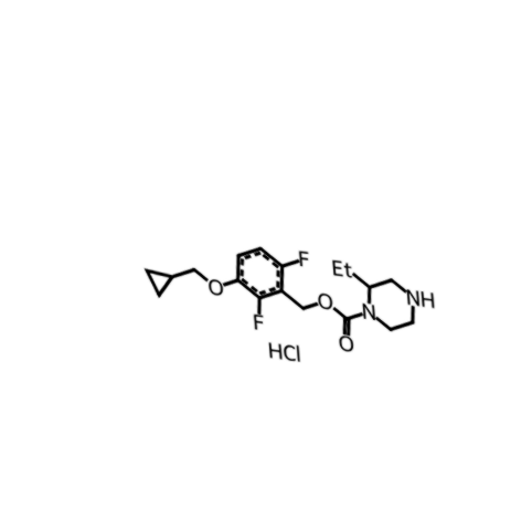 CCC1CNCCN1C(=O)OCc1c(F)ccc(OCC2CC2)c1F.Cl